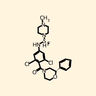 CN1CCN([SH](F)Nc2cc(Cl)c(C(=O)N3CCO[C@@H](c4ccccc4)C3)c(Cl)c2)CC1